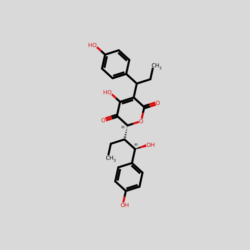 CCC(C1=C(O)C(=O)[C@@H](C(CC)[C@@H](O)c2ccc(O)cc2)OC1=O)c1ccc(O)cc1